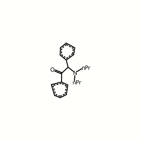 CCCN(CCC)C(C(=O)c1ccccc1)c1ccccc1